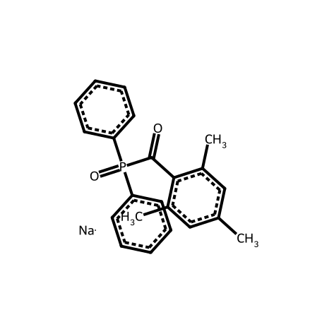 Cc1cc(C)c(C(=O)P(=O)(c2ccccc2)c2ccccc2)c(C)c1.[Na]